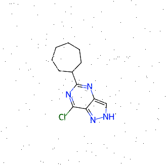 Clc1nc(C2CCCCCC2)nc2c[nH]nc12